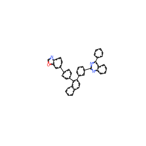 c1ccc(-c2nc(-c3cccc(-c4ccc5ccccc5c4-c4ccc(-c5ccc6ncoc6c5)cc4)c3)nc3ccccc23)cc1